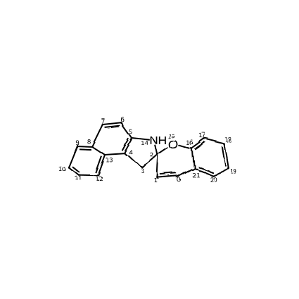 C1=CC2(Cc3c(ccc4ccccc34)N2)Oc2ccccc21